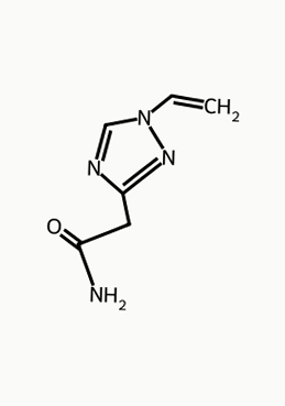 C=Cn1cnc(CC(N)=O)n1